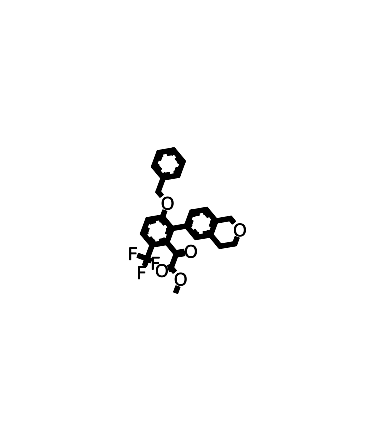 COC(=O)C(=O)c1c(C(F)(F)F)ccc(OCc2ccccc2)c1-c1ccc2c(c1)CCOC2